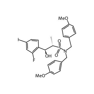 COc1ccc(CN(Cc2ccc(OC)cc2)S(=O)(=O)[C@@H](C)[C@@H](O)c2ccc(I)cc2F)cc1